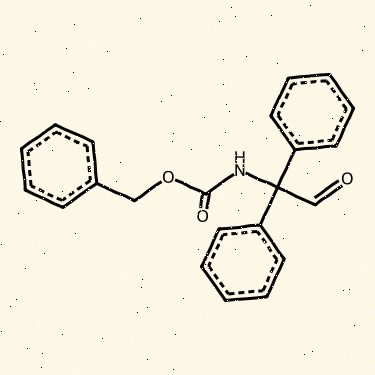 O=CC(NC(=O)OCc1ccccc1)(c1ccccc1)c1ccccc1